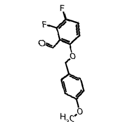 COc1ccc(COc2ccc(F)c(F)c2C=O)cc1